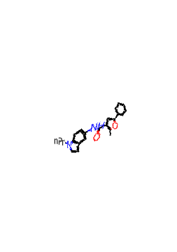 CCCn1ccc2cc(NC(=O)c3cc(-c4ccccc4)oc3C)ccc21